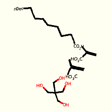 C=C(C)C(=O)O.C=C(C)C(=O)O.CCCCCCCCCCCCCCCCCC(=O)O.OCC(CO)(CO)CO